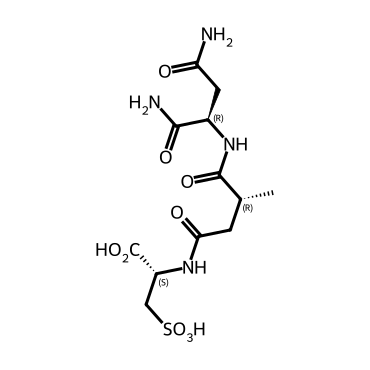 C[C@H](CC(=O)N[C@H](CS(=O)(=O)O)C(=O)O)C(=O)N[C@H](CC(N)=O)C(N)=O